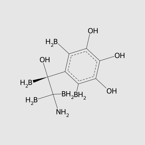 Bc1c(O)c(O)c(O)c(B)c1[C@@](B)(O)C(B)(B)N